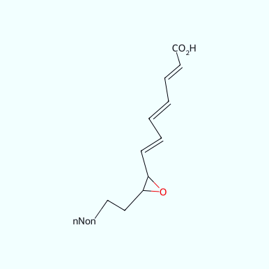 CCCCCCCCCCCC1OC1C=CC=CC=CC(=O)O